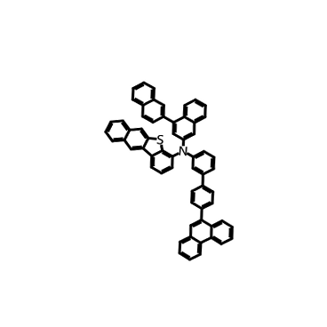 c1cc(-c2ccc(-c3cc4ccccc4c4ccccc34)cc2)cc(N(c2cc(-c3ccc4ccccc4c3)c3ccccc3c2)c2cccc3c2sc2cc4ccccc4cc23)c1